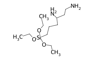 CCO[Si](CCCC(N)CCN)(OCC)OCC